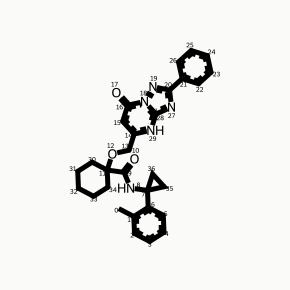 Cc1ccccc1C1(NC(=O)C2(OCc3cc(=O)n4nc(-c5ccccc5)nc4[nH]3)CCCCC2)CC1